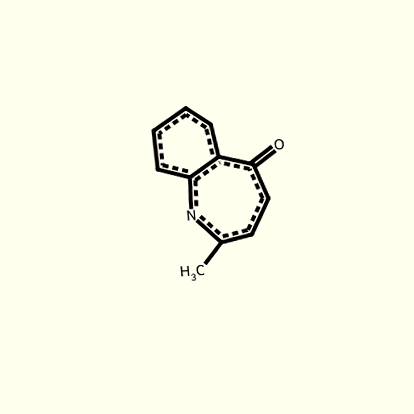 Cc1ccc(=O)c2ccccc2n1